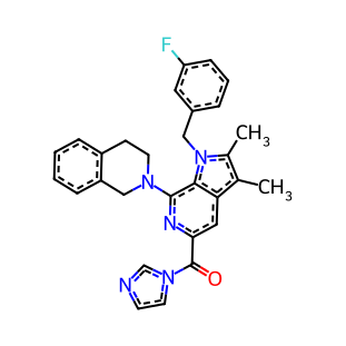 Cc1c(C)n(Cc2cccc(F)c2)c2c(N3CCc4ccccc4C3)nc(C(=O)n3ccnc3)cc12